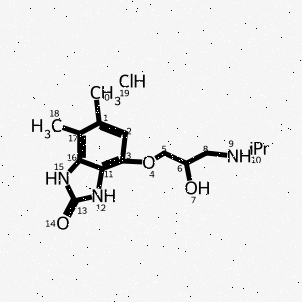 Cc1cc(OCC(O)CNC(C)C)c2[nH]c(=O)[nH]c2c1C.Cl